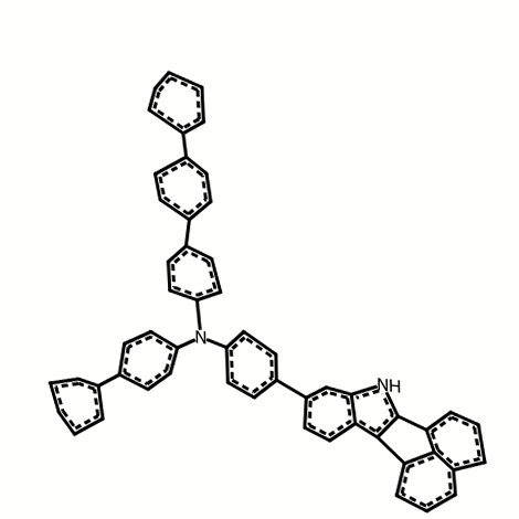 c1ccc(-c2ccc(-c3ccc(N(c4ccc(-c5ccccc5)cc4)c4ccc(-c5ccc6c7c([nH]c6c5)-c5cccc6cccc-7c56)cc4)cc3)cc2)cc1